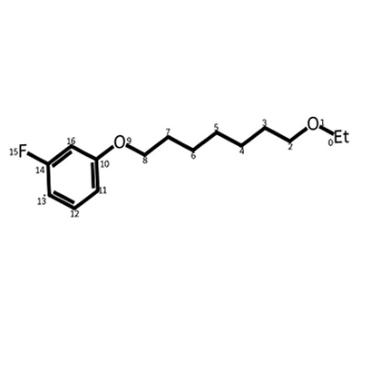 CCOCCCCCCCOc1cc[c]c(F)c1